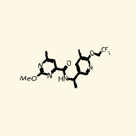 COc1nc(C)cc(C(=O)NC(C)c2cnc(OCC(F)(F)F)c(C)c2)n1